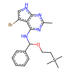 Cc1nc(NC(OCC[Si](C)(C)C)c2ccccc2)c2c(Br)c[nH]c2n1